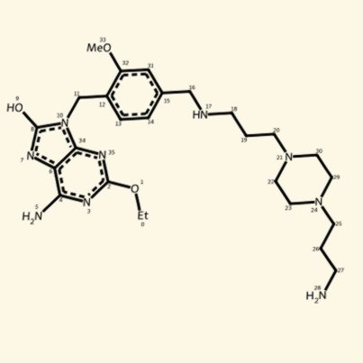 CCOc1nc(N)c2nc(O)n(Cc3ccc(CNCCCN4CCN(CCCN)CC4)cc3OC)c2n1